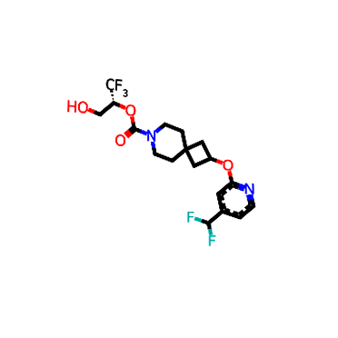 O=C(O[C@H](CO)C(F)(F)F)N1CCC2(CC1)CC(Oc1cc(C(F)F)ccn1)C2